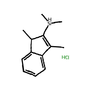 CC1=C([SiH](C)C)C(C)c2ccccc21.Cl